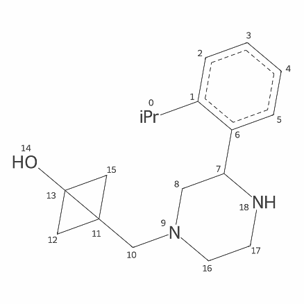 CC(C)c1ccccc1C1CN(CC23CC2(O)C3)CCN1